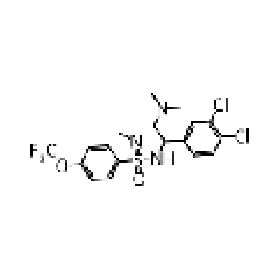 CN=[S@](=O)(NC(CN(C)C)c1ccc(Cl)c(Cl)c1)c1ccc(OC(F)(F)F)cc1